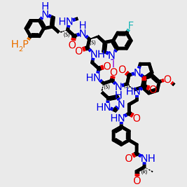 CN[C@@H](Cc1c[nH]c2ccc(P)cc12)C(=O)N[C@@H](Cc1cn(I)c2ccc(F)cc12)C(=O)NCC(=O)N[C@@H](Cc1cnc[nH]1)C(=O)N[C@@H](Cc1ccc(OC)cc1)C(=O)N1CCCC1C(=O)NCCC(=O)Nc1cccc(CC(=O)N[C@H](C)C=O)c1